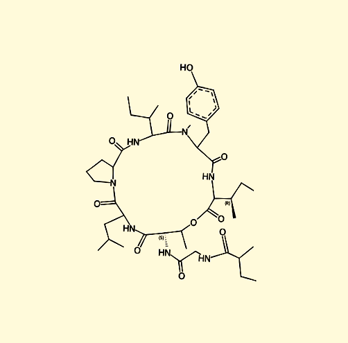 CCC(C)C(=O)NCC(=O)N[C@@H]1C(=O)NC(CC(C)C)C(=O)N2CCCC2C(=O)NC(C(C)CC)C(=O)N(C)C(Cc2ccc(O)cc2)C(=O)NC([C@H](C)CC)C(=O)OC1C